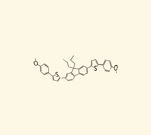 CCCC1(CCC)c2cc(-c3ccc(-c4ccc(OC)cc4)s3)ccc2-c2ccc(-c3ccc(-c4ccc(OC)cc4)s3)cc21